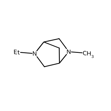 CCN1CC2CC1CN2C